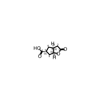 O=C1C[C@@H]2C[C@H](C(=O)O)C[C@@H]2O1